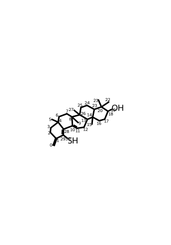 C=C1CCC2(C)CCC3(C)C(=CCC4C5(C)CCC(O)C(C)(C)C5CCC43C)C2=C1S